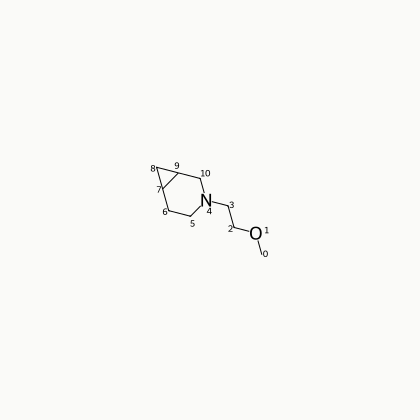 COCCN1CCC2CC2C1